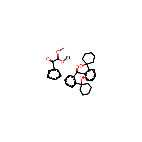 CCOC(OCC)C(=O)c1ccccc1.O=C(c1ccccc1C1(O)CCCCC1)c1ccccc1C1(O)CCCCC1